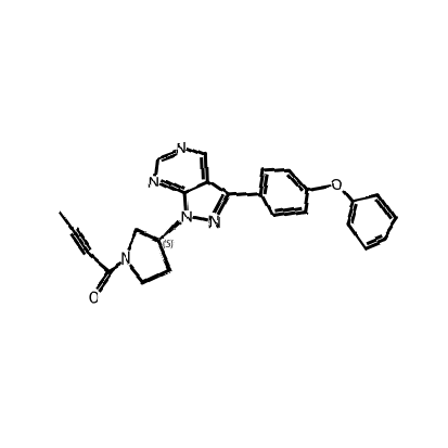 CC#CC(=O)N1CC[C@H](n2nc(-c3ccc(Oc4ccccc4)cc3)c3cncnc32)C1